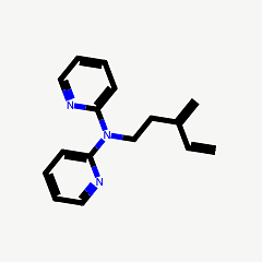 C=CC(=C)CCN(c1ccccn1)c1ccccn1